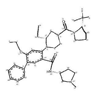 CCOc1cc(N2CCN(C(=O)N3CCC[C@H]3C(C)(C)F)C[C@H]2CC)c(C(=O)N[C@@H]2CCN(C)C2)nc1-c1cccnc1